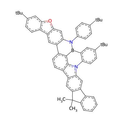 CC(C)(C)c1ccc(N2B3c4cc(C(C)(C)C)ccc4-n4c5cc6c(cc5c5ccc(c3c54)-c3cc4c(cc32)oc2cc(C(C)(C)C)ccc24)C(C)(C)c2ccccc2-6)cc1